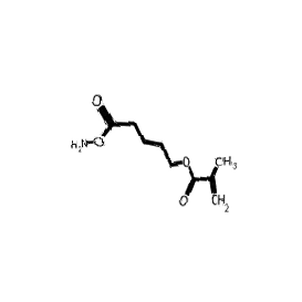 C=C(C)C(=O)OCCCCC(=O)ON